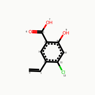 C=Cc1cc(C(=O)O)c(O)cc1Cl